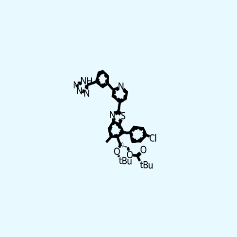 Cc1cc2nc(-c3ccnc(-c4cccc(-c5nnn[nH]5)c4)c3)sc2c(-c2ccc(Cl)cc2)c1[C@H](COC(=O)C(C)(C)C)OC(C)(C)C